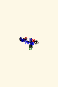 Cc1ccc(C(=O)c2nn(-c3ccc(Cl)cc3)c(NCCCNC(=O)c3cc4ncccn4n3)c2C#N)cc1